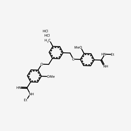 CCNC(=N)c1ccc(OCc2cc(C)cc(COc3ccc(C(=N)NCC)cc3OC)c2)c(OC)c1.Cl.Cl